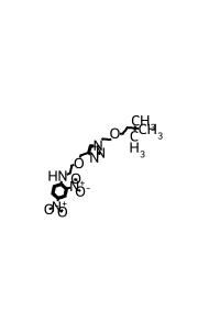 CC(C)(C)CCOCCn1cc(COCCNc2ccc([N+](=O)[O-])cc2[N+](=O)[O-])nn1